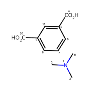 CN(C)C.O=C(O)c1cccc(C(=O)O)c1